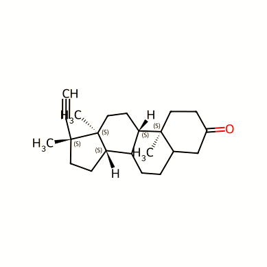 C#C[C@@]1(C)CC[C@H]2C3CCC4CC(=O)CC[C@]4(C)[C@H]3CC[C@@]21C